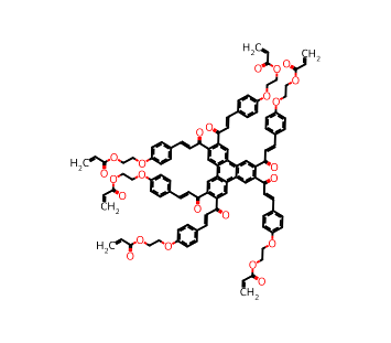 C=CC(=O)OCCOc1ccc(C=CC(=O)c2cc3c4cc(C(=O)C=Cc5ccc(OCCOC(=O)C=C)cc5)c(C(=O)C=Cc5ccc(OCCOC(=O)C=C)cc5)cc4c4cc(C(=O)C=Cc5ccc(OCCOC(=O)C=C)cc5)c(C(=O)C=Cc5ccc(OCCOC(=O)C=C)cc5)cc4c3cc2C(=O)C=Cc2ccc(OCCOC(=O)C=C)cc2)cc1